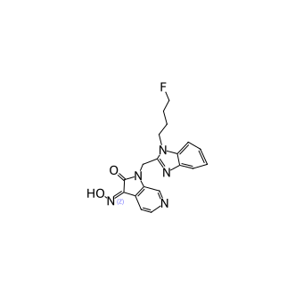 O=C1/C(=N\O)c2ccncc2N1Cc1nc2ccccc2n1CCCCF